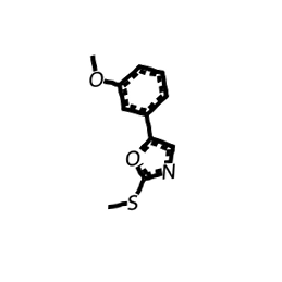 COc1cccc(-c2cnc(SC)o2)c1